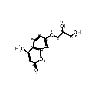 Cc1cc(=O)oc2cc(OCC(O)CO)ccc12